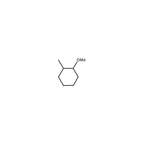 COC1CCCCC1C